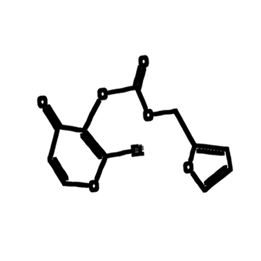 CCc1occc(=O)c1OC(=O)OCc1ccco1